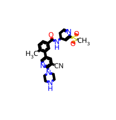 Cc1ccc(C(=O)NC2C=C(S(C)(=O)=O)N=CC2)cc1-c1cnc(N2CCNCC2)c(C#N)c1